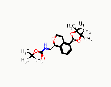 CC(C)(C)OC(=O)NC[C@@H]1OCCc2c(B3OC(C)(C)C(C)(C)O3)cccc21